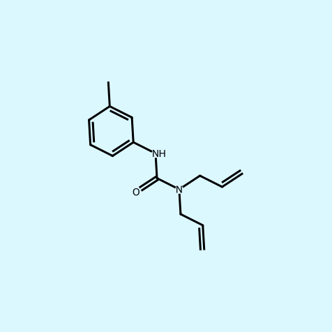 C=CCN(CC=C)C(=O)Nc1cccc(C)c1